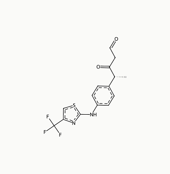 C[C@@H](C(=O)CC=O)c1ccc(Nc2nc(C(F)(F)F)cs2)cc1